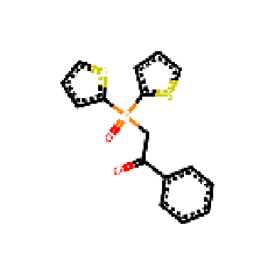 O=C(CP(=O)(c1cccs1)c1cccs1)c1ccccc1